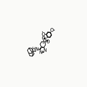 COc1ccc(S(=O)(=O)N2CCc3c(ncnc3NCC34CC5CC(CC(C5)C3)C4)C2)c(OC)c1